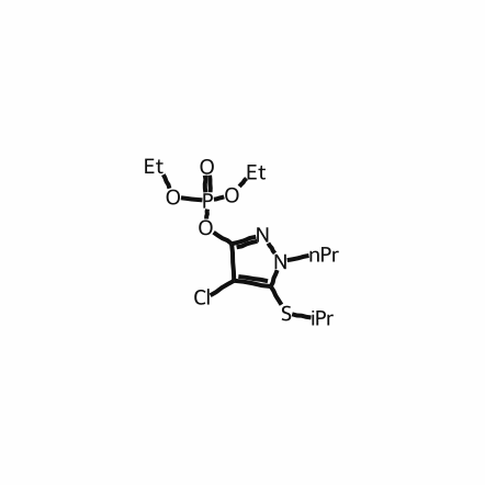 CCCn1nc(OP(=O)(OCC)OCC)c(Cl)c1SC(C)C